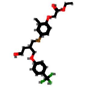 CCOC(=O)COc1ccc(SCC(CC=O)COc2ccc(C(F)(F)F)cc2)cc1C